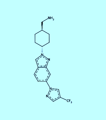 NC[C@H]1CC[C@H](n2cc3ccc(-n4cc(C(F)(F)F)cn4)cc3n2)CC1